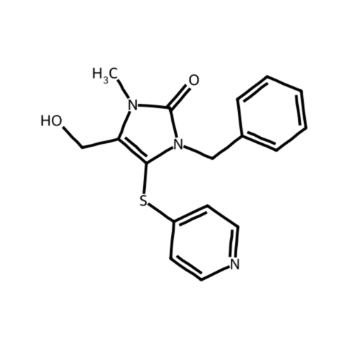 Cn1c(CO)c(Sc2ccncc2)n(Cc2ccccc2)c1=O